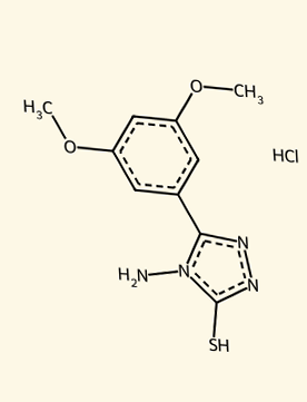 COc1cc(OC)cc(-c2nnc(S)n2N)c1.Cl